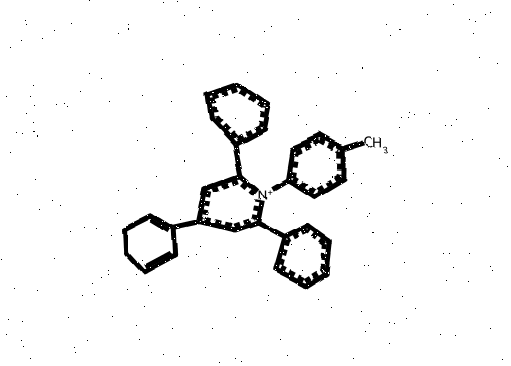 Cc1ccc(-[n+]2c(-c3ccccc3)cc(C3=CCCC=C3)cc2-c2ccccc2)cc1